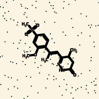 COc1cc(S(C)(=O)=O)ccc1C(C)=CC1=NNC(=O)CC1C